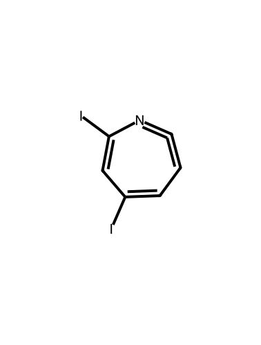 IC1=CC=C=NC(I)=C1